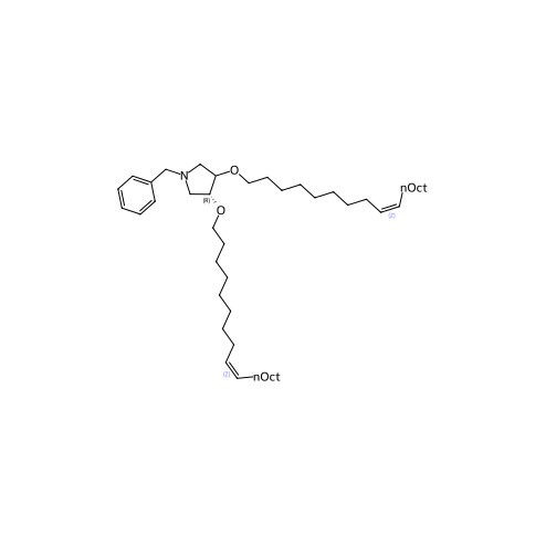 CCCCCCCC/C=C\CCCCCCCCOC1CN(Cc2ccccc2)C[C@H]1OCCCCCCCC/C=C\CCCCCCCC